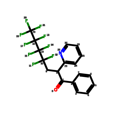 O=C(c1ccccc1)C(CC(F)(F)C(F)(F)C(F)(F)C(F)(F)F)c1ccccn1